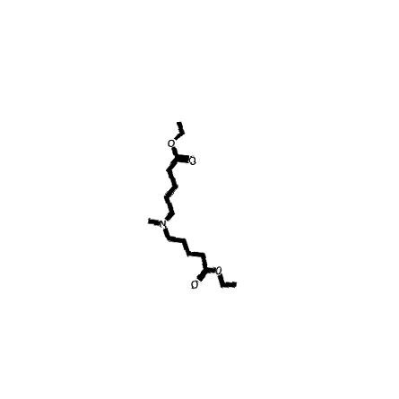 CCOC(=O)CCCCN(C)CCCCC(=O)OCC